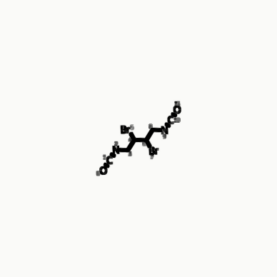 O=C=NCC(Br)C(Br)CN=C=O